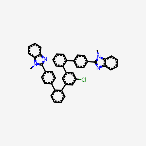 Cn1c(-c2ccc(-c3ccccc3-c3cc(Cl)cc(-c4ccccc4-c4ccc(-c5nc6ccccc6n5C)cc4)c3)cc2)nc2ccccc21